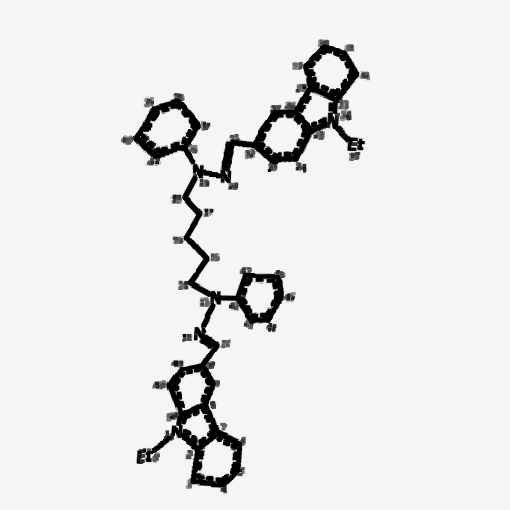 CCn1c2ccccc2c2cc(/C=N/N(CCCCCN(/N=C/c3ccc4c(c3)c3ccccc3n4CC)c3ccccc3)c3ccccc3)ccc21